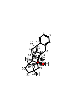 CC1(C)[C@H]2Cc3ccccc3[C@]1(C)CCN2C(=O)N1[C@@H]2CC[C@H]1C[C@](O)(C(F)(F)F)C2